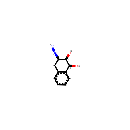 [N-]=[N+]=C1Cc2ccccc2C(=O)C1=O